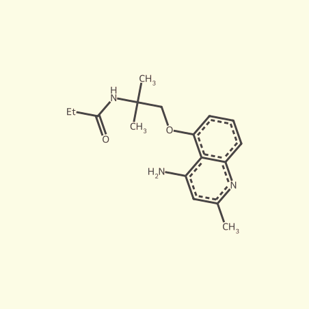 CCC(=O)NC(C)(C)COc1cccc2nc(C)cc(N)c12